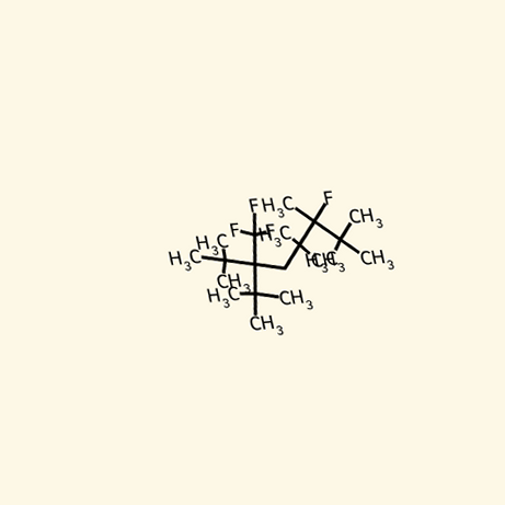 CC(C)(C)C(C)(F)C(C)(C)CC(C(C)(C)C)(C(C)(C)C)C(F)(F)F